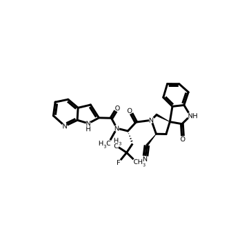 CN(C(=O)c1cc2cccnc2[nH]1)[C@@H](CC(C)(C)F)C(=O)N1C[C@]2(C[C@H]1C#N)C(=O)Nc1ccccc12